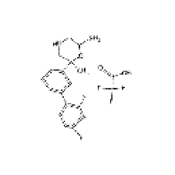 CC1(c2cccc(-c3ccc(F)nc3F)c2)CNCC(N)O1.O=C(O)C(F)(F)F